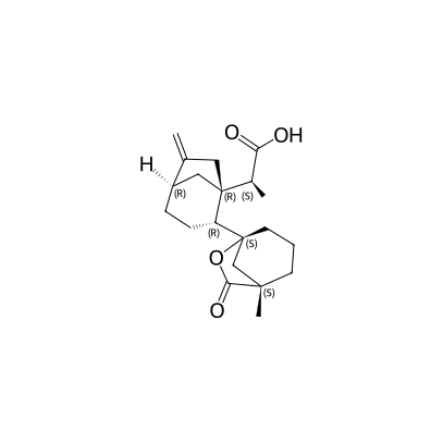 C=C1C[C@]2([C@H](C)C(=O)O)C[C@H]1CC[C@H]2[C@]12CCC[C@@](C)(C1)C(=O)O2